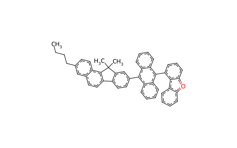 CCCCc1ccc2c3c(ccc2c1)-c1ccc(-c2c4ccccc4c(-c4cccc5oc6ccccc6c45)c4ccccc24)cc1C3(C)C